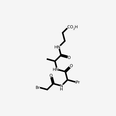 CC(NC(=O)C(NC(=O)CBr)C(C)C)C(=O)NCCC(=O)O